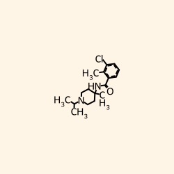 Cc1c(Cl)cccc1C(=O)NC1(C)CCN(C(C)C)CC1